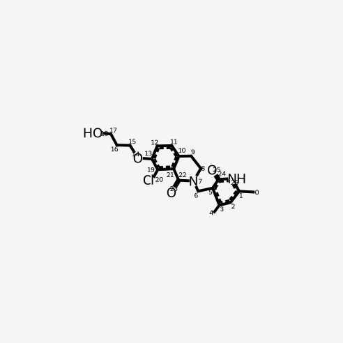 Cc1cc(C)c(CN2CCc3ccc(OCCCO)c(Cl)c3C2=O)c(=O)[nH]1